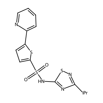 CC(C)c1nsc(NS(=O)(=O)c2ccc(-c3ccccn3)s2)n1